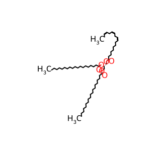 CC/C=C\C/C=C\C/C=C\CCCCCCCC(=O)OC[C@H](COC(=O)CCCCCCCCCCCCCCCCCCC)OC(=O)CCCCCCCCCCCCCCCCCCC